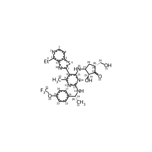 CCc1nccc2sc(-c3c(C)nc(N[C@H](C)c4ccc(OC(F)(F)F)cc4)nc3NC3C[C@H](CO)C(=O)[C@H]3O)nc12